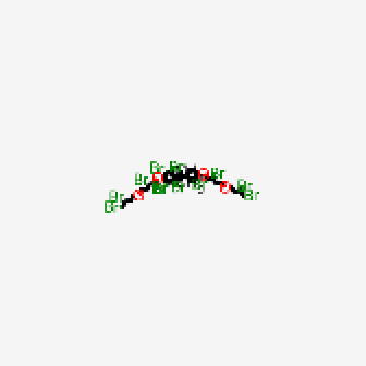 CC(C)(c1ccc(OC(Br)C(Br)CCOCCC(Br)CBr)cc1)c1c(Br)c(Br)c(OC(Br)C(Br)CCOCCC(Br)CBr)c(Br)c1Br